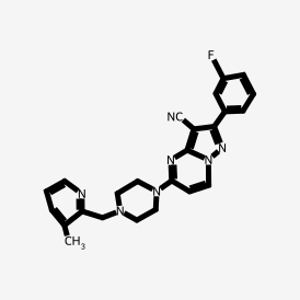 Cc1cccnc1CN1CCN(c2ccn3nc(-c4cccc(F)c4)c(C#N)c3n2)CC1